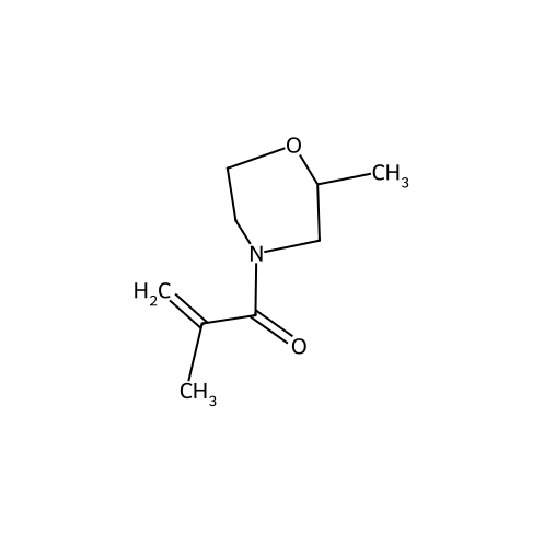 C=C(C)C(=O)N1CCOC(C)C1